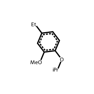 [CH2]Cc1ccc(OC(C)C)c(OC)c1